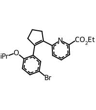 CCOC(=O)c1cccc(C2=C(c3cc(Br)ccc3OC(C)C)CCC2)n1